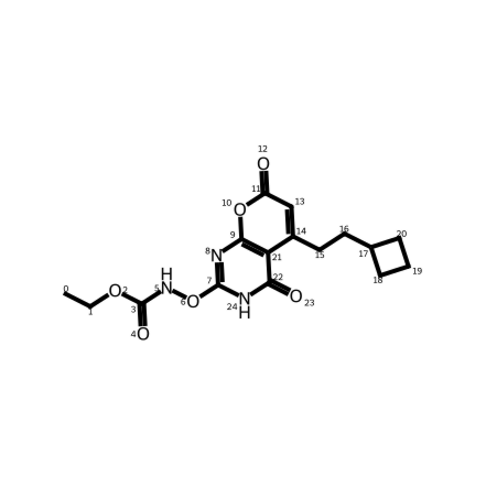 CCOC(=O)NOc1nc2oc(=O)cc(CCC3CCC3)c2c(=O)[nH]1